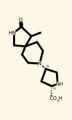 CC1C(=O)NCC12CCN([C@@H]1CN[C@H](C(=O)O)C1)CC2